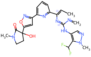 C=N/C(=N\C(=C/C)c1cccc(-c2cc(C3(O)CCN(C)C3=O)on2)n1)Nc1cnn(C)c1C(F)F